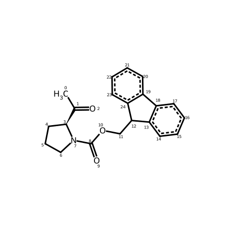 CC(=O)[C@@H]1CCCN1C(=O)OCC1c2ccccc2-c2ccccc21